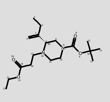 C=C(CC)[C@@H]1CN(C(=O)OC(C)(C)C)CCN1CCC(=O)OCC